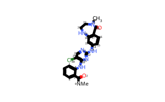 CNC(=O)c1ccccc1Nc1nc(Nc2ccc3c(c2)NCCN(C)C3=O)ncc1Cl